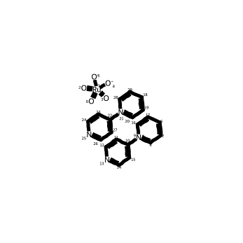 [O]=[Ru](=[O])(=[O])([O-])[O-].c1cc[n+](-c2ccncc2)cc1.c1cc[n+](-c2ccncc2)cc1